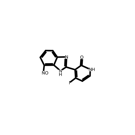 O=Nc1cccc2nc(-c3c(I)cc[nH]c3=O)[nH]c12